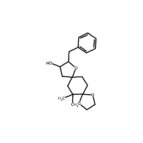 CC1(C)CC2(CCC13OCCO3)CC(O)C(Cc1ccccc1)O2